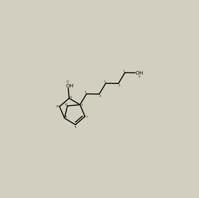 OCCCCCC12C=CC(CC1O)C2